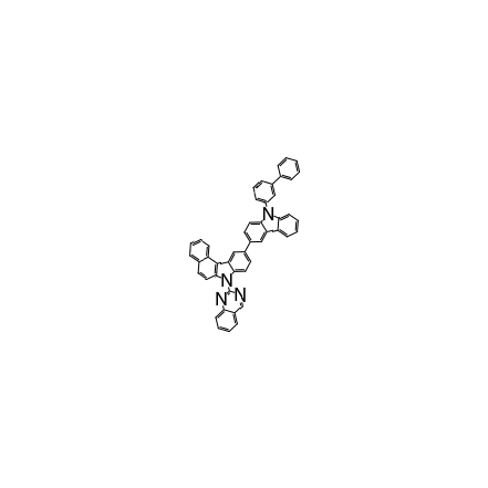 c1ccc(-c2cccc(-n3c4ccccc4c4cc(-c5ccc6c(c5)c5c7ccccc7ccc5n6-c5ncc6ccccc6n5)ccc43)c2)cc1